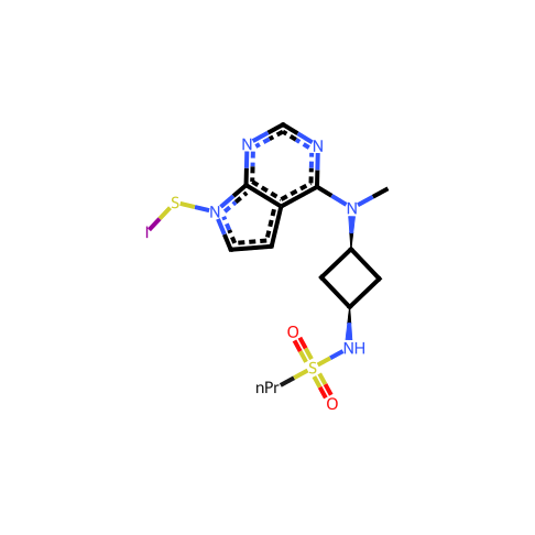 CCCS(=O)(=O)N[C@H]1C[C@@H](N(C)c2ncnc3c2ccn3SI)C1